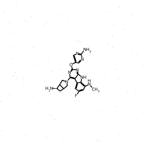 CNc1cc(F)cc2c1[nH]c1nc(Oc3cnc(N)nc3)nc(N3CC4C[C@@H](N)C4C3)c12